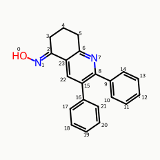 ON=C1CCCc2nc(-c3cc[c]cc3)c(-c3ccccc3)cc21